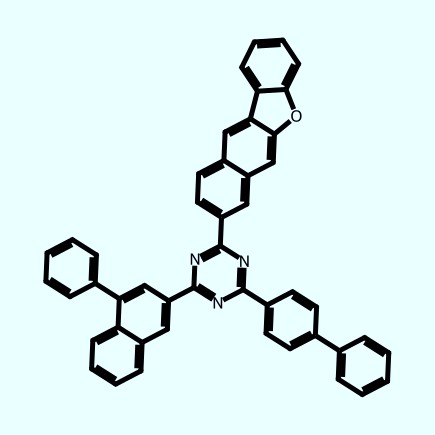 c1ccc(-c2ccc(-c3nc(-c4ccc5cc6c(cc5c4)oc4ccccc46)nc(-c4cc(-c5ccccc5)c5ccccc5c4)n3)cc2)cc1